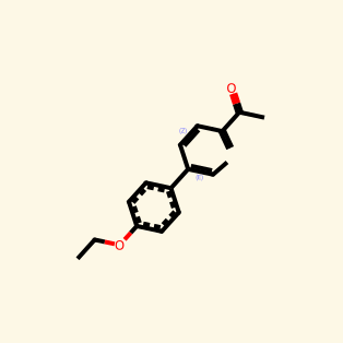 C=C(/C=C\C(=C/C)c1ccc(OCC)cc1)C(C)=O